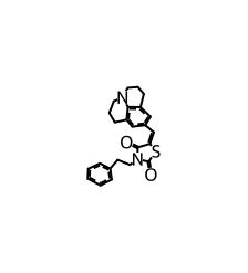 O=C1S/C(=C/c2cc3c4c(c2)CCCN4CCC3)C(=O)N1CCc1ccccc1